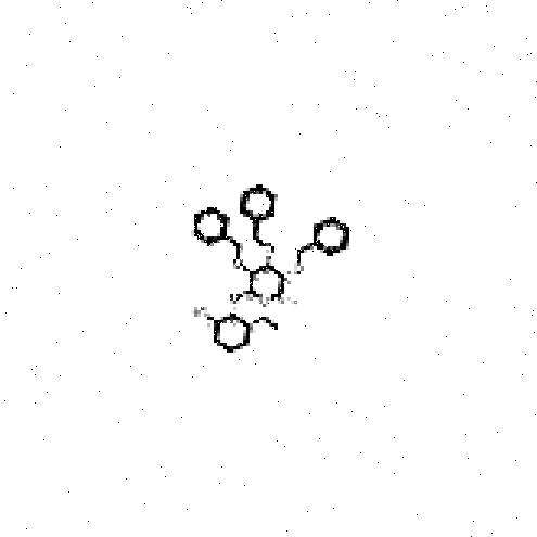 CC[C@H]1CCC[C@@H](O)[C@@H]1O[C@@H]1O[C@@H](C)[C@@H](OCc2ccccc2)[C@@H](OCc2ccccc2)[C@@H]1OCc1ccccc1